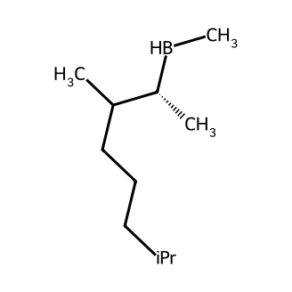 CB[C@H](C)C(C)CCCC(C)C